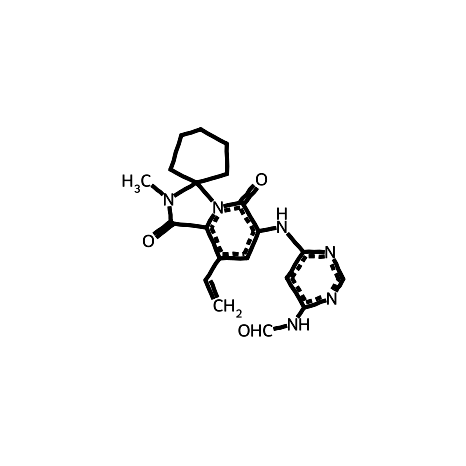 C=Cc1cc(Nc2cc(NC=O)ncn2)c(=O)n2c1C(=O)N(C)C21CCCCC1